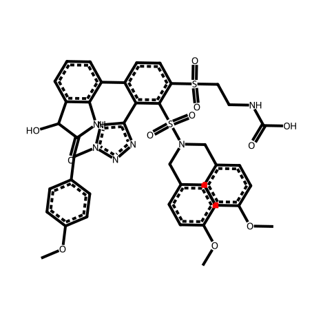 COc1ccc(CN(Cc2ccc(OC)cc2)S(=O)(=O)c2c(S(=O)(=O)CCNC(=O)O)ccc(-c3cccc4c3NC(=O)C4O)c2-c2nnn(Cc3ccc(OC)cc3)n2)cc1